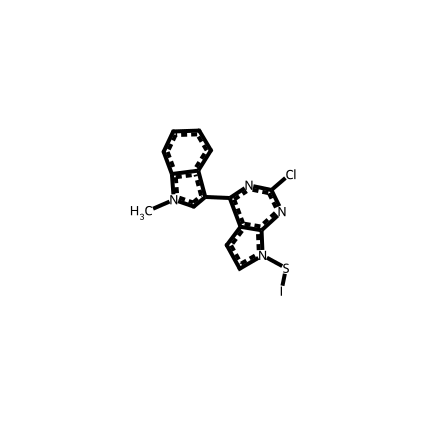 Cn1cc(-c2nc(Cl)nc3c2ccn3SI)c2ccccc21